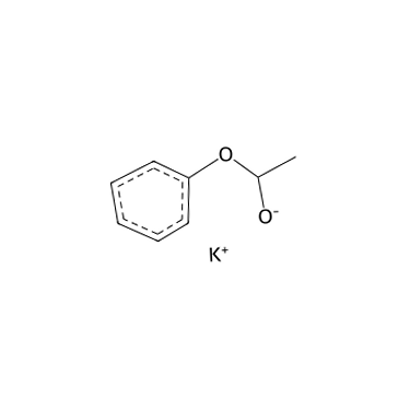 CC([O-])Oc1ccccc1.[K+]